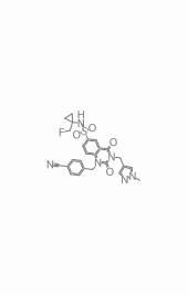 Cn1cc(Cn2c(=O)c3cc(S(=O)(=O)NC4(CF)CC4)ccc3n(Cc3ccc(C#N)cc3)c2=O)cn1